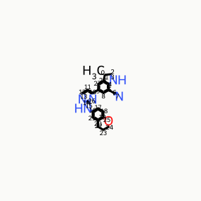 CC1CNc2c(C#N)cc(-c3ccnc(Nc4ccc5c(c4)CCCO5)n3)cc21